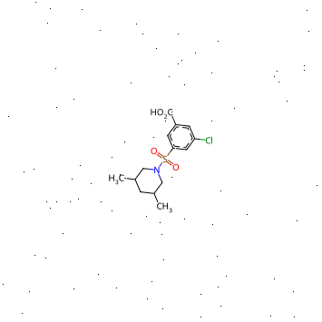 CC1CC(C)CN(S(=O)(=O)c2cc(Cl)cc(C(=O)O)c2)C1